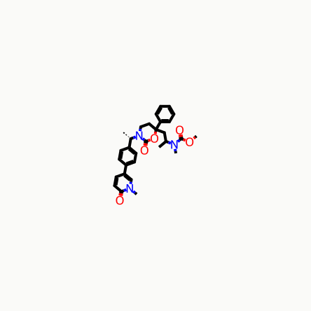 COC(=O)N(C)C(C)CC1(c2ccccc2)CCN([C@@H](C)c2ccc(-c3ccc(=O)n(C)c3)cc2)C(=O)O1